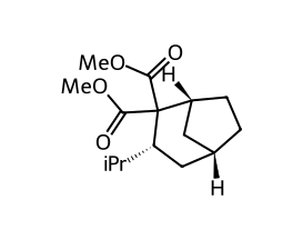 COC(=O)C1(C(=O)OC)[C@@H]2CC[C@@H](C2)C[C@@H]1C(C)C